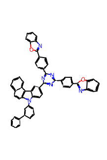 c1ccc(-c2cccc(-n3c4ccc(-c5nc(-c6ccc(-c7nc8ccccc8o7)cc6)nc(-c6ccc(-c7nc8ccccc8o7)cc6)n5)cc4c4c5ccccc5ccc43)c2)cc1